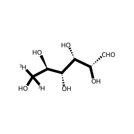 [3H]C([3H])(O)[C@@H](O)[C@@H](O)[C@H](O)[C@@H](O)C=O